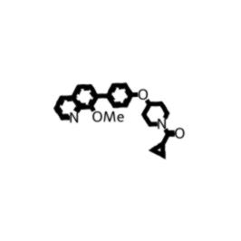 COc1c(-c2ccc(OC3CCN(C(=O)C4CC4)CC3)cc2)ccc2cccnc12